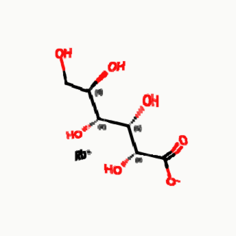 O=C([O-])[C@H](O)[C@@H](O)[C@H](O)[C@H](O)CO.[Rb+]